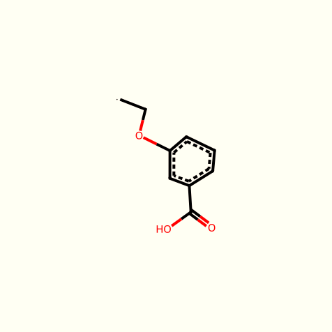 [CH2]COc1cccc(C(=O)O)c1